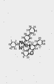 c1ccc(C2=NC(c3cccc4oc5cc(-c6ccccc6)ccc5c34)NC(c3ccc(-c4ccccc4)cc3)=N2)cc1